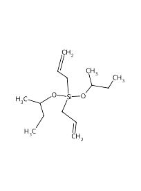 C=CC[Si](CC=C)(OC(C)CC)OC(C)CC